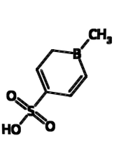 CB1C=CC(S(=O)(=O)O)=CC1